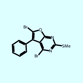 CSc1nc(Br)c2c(-c3ccccc3)c(Br)oc2n1